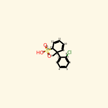 CC1(c2ccccc2Cl)C=CC=CC1S(=O)(=O)O